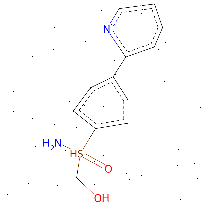 N[SH](=O)(CO)c1ccc(-c2ccccn2)cc1